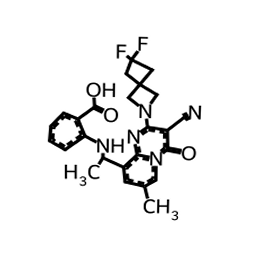 Cc1cc(C(C)Nc2ccccc2C(=O)O)c2nc(N3CC4(C3)CC(F)(F)C4)c(C#N)c(=O)n2c1